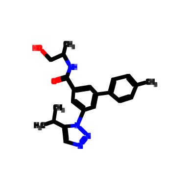 Cc1ccc(-c2cc(C(=O)NC(C)CO)cc(-n3nncc3C(C)C)c2)cc1